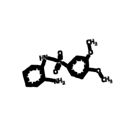 COc1ccc(S(=O)(=O)Nc2ccccc2N)cc1OC